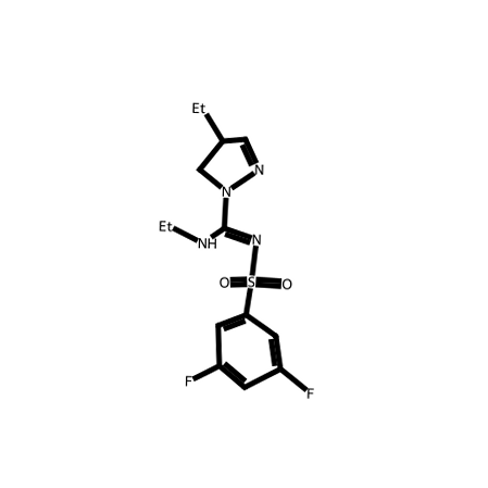 CCN/C(=N\S(=O)(=O)c1cc(F)cc(F)c1)N1CC(CC)C=N1